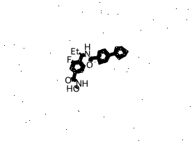 CC[C@@H](NC(=O)c1ccc(-c2ccccc2)cc1)c1ccc(C(=O)NO)cc1F